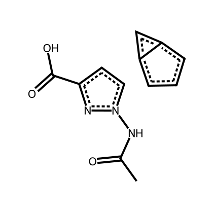 CC(=O)Nn1ccc(C(=O)O)n1.c1cc2cc-2c1